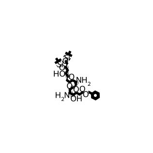 CC(C)(C)[Si](C)(C)OC[C@@H](C[C@H](O)[C@@H]1CC2O[C@@]3(C[C@H](N)C2O1)C[C@H](N)[C@H](O)C(CC(=O)OCc1ccccc1)O3)O[Si](C)(C)C(C)(C)C